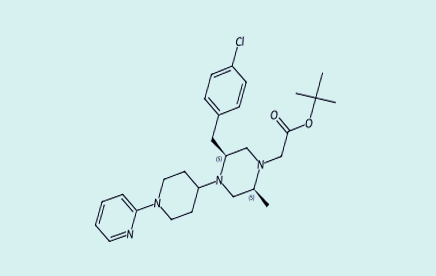 C[C@H]1CN(C2CCN(c3ccccn3)CC2)[C@@H](Cc2ccc(Cl)cc2)CN1CC(=O)OC(C)(C)C